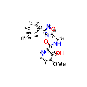 COc1ccnc(C(=O)N[C@@H](C)c2nc(-c3cccc(C(C)C)c3)no2)c1O